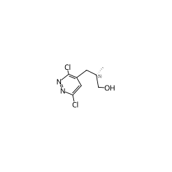 C[C@H](CO)Cc1cc(Cl)nnc1Cl